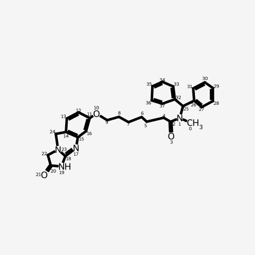 CN(C(=O)CCCCCCOc1ccc2c(c1)N=C1NC(=O)CN1C2)C(c1ccccc1)c1ccccc1